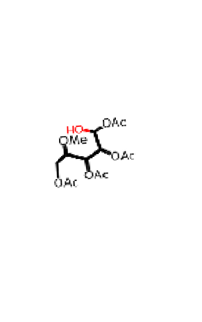 COC(COC(C)=O)C(OC(C)=O)C(OC(C)=O)C(O)OC(C)=O